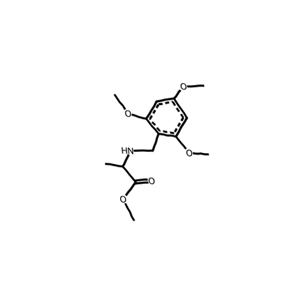 COC(=O)C(C)NCc1c(OC)cc(OC)cc1OC